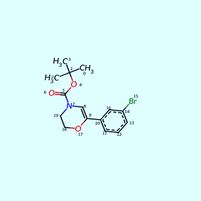 CC(C)(C)OC(=O)N1C=C(c2cccc(Br)c2)OCC1